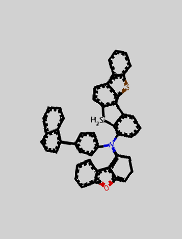 C1=c2oc3ccccc3c2=C(N(c2ccc(-c3cccc4ccccc34)cc2)c2cccc3c2[SiH2]c2ccc4c(sc5ccccc54)c2-3)CC1